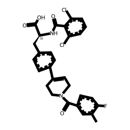 Cc1cc(C(=O)N2CC=C(c3ccc(C[C@H](NC(=O)c4c(Cl)cccc4Cl)C(=O)O)cc3)CC2)ccc1F